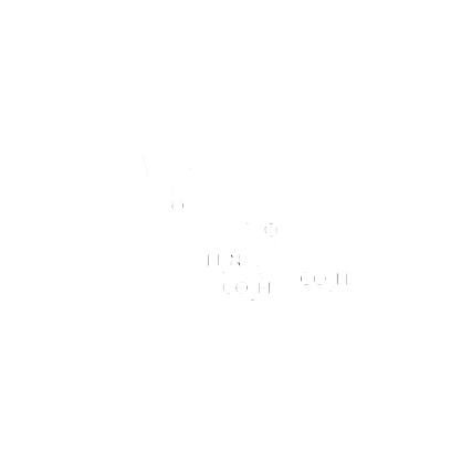 NC(C(=O)O)C(CC(=O)O)Oc1ccc(Oc2ccccc2)cc1